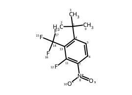 CC(C)(C)c1ccc([N+](=O)[O-])c(F)c1C(F)(F)F